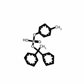 Cc1ccc(OP(=O)(O)OC(C)(c2ccccc2)c2ccccc2)cc1